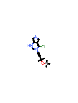 CC(C)(C#CN1CNC2=CN=CC2=C1Cl)O[Si](C)(C)C